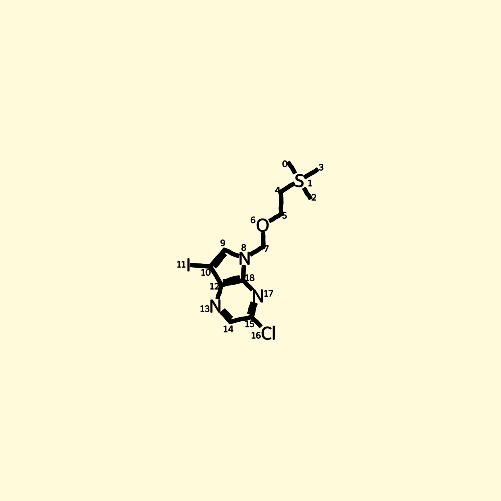 CS(C)(C)CCOCn1cc(I)c2ncc(Cl)nc21